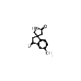 Cc1ccc2c(c1)C(=O)CC21CNC(=O)C1